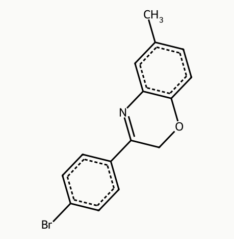 Cc1ccc2c(c1)N=C(c1ccc(Br)cc1)CO2